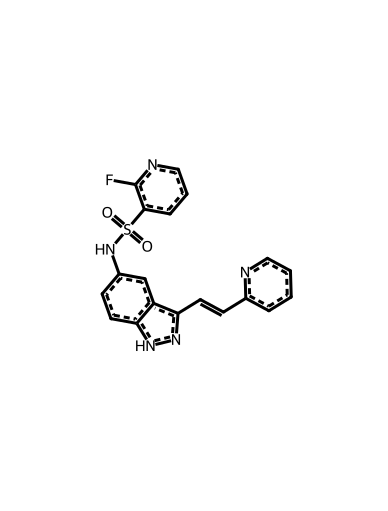 O=S(=O)(Nc1ccc2[nH]nc(C=Cc3ccccn3)c2c1)c1cccnc1F